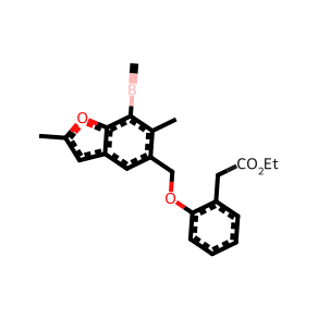 C=Bc1c(C)c(COc2ccccc2CC(=O)OCC)cc2cc(C)oc12